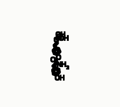 NC(Cc1ccc(O)cc1)C(=O)Oc1ccc(CCON(O)O)cc1